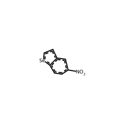 O=[N+]([O-])c1ccc2[se]ccc2c1